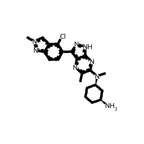 Cc1nc2c(-c3ccc4nn(C)cc4c3Cl)n[nH]c2nc1N(C)[C@@H]1CCC[C@H](N)C1